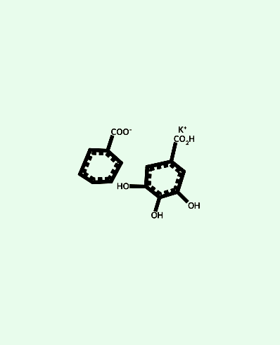 O=C(O)c1cc(O)c(O)c(O)c1.O=C([O-])c1ccccc1.[K+]